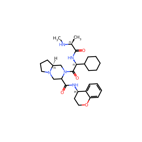 CN[C@@H](C)C(=O)N[C@H](C(=O)N1C[C@@H]2CCCN2CC1C(=O)N[C@@H]1CCOc2ccccc21)C1CCCCC1